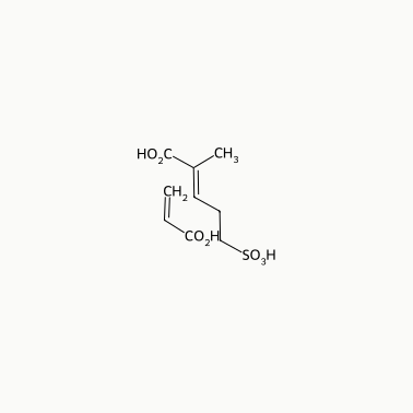 C=CC(=O)O.CC(=CCCS(=O)(=O)O)C(=O)O